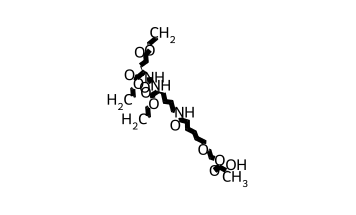 C=CCOC(=O)CC[C@H](NC(=O)N[C@@H](CCCCNC(=O)CCCCCOCCOC(=O)C(C)O)C(=O)OCC=C)C(=O)OCC=C